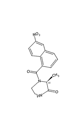 C[C@H]1C(=O)NCCN1C(=O)c1cccc2cc([N+](=O)[O-])ccc12